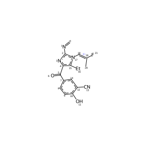 C=Nc1nc(C(=O)c2ccc(O)c(C#N)c2)c(CC)n1/C=C(\C)F